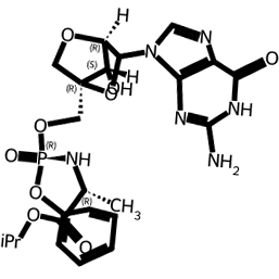 CC(C)OC(=O)[C@@H](C)N[P@@](=O)(OC[C@@]12CO[C@@H](C(n3cnc4c(=O)[nH]c(N)nc43)O1)[C@@H]2O)Oc1ccccc1